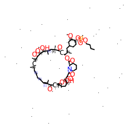 CCCCOP(C)(=O)O[C@@H]1CCC(C[C@@H](C)C2CC(=O)[C@H](C)/C=C(\C)[C@@H](O)[C@@H](OC)C(=O)[C@H](C)C[C@H](C)/C=C/C=C/C=C(\C)[C@@H](OC)C[C@@H]3CC[C@@H](C)[C@@](O)(O3)C(=O)C(=O)N3CCCCC3C(=O)O2)C[C@H]1OC